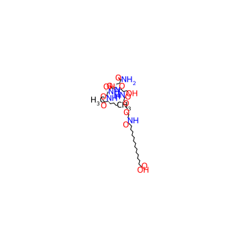 CCCC[C@H](NC(=O)[C@H](CO)NC(=O)[C@H](CCC(N)=O)NC(=O)C(CO)NC(=O)COCCOCCNC(=O)CCCCCCCCCCCCCCC(=O)O)C(C)=O